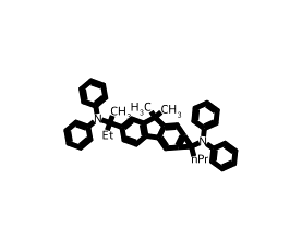 CCCC1(N(c2ccccc2)c2ccccc2)c2cc3c(cc21)C(C)(C)c1cc(C(C)(CC)N(c2ccccc2)c2ccccc2)ccc1-3